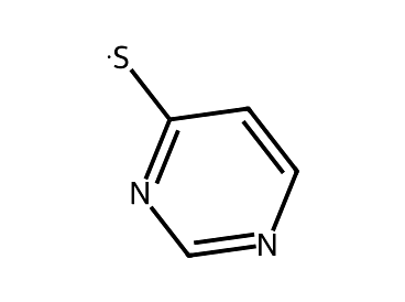 [S]c1ccncn1